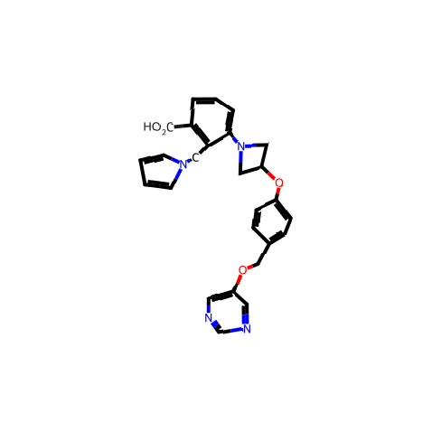 O=C(O)c1cccc(N2CC(Oc3ccc(COc4cncnc4)cc3)C2)c1Cn1cccc1